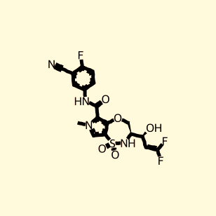 Cn1cc2c(c1C(=O)Nc1ccc(F)c(C#N)c1)OC[C@@H]([C@@H](O)C=C(F)F)NS2(=O)=O